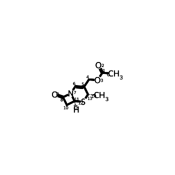 CC(=O)OCC1=CN2C(=O)C[C@@H]2S[C@H]1C